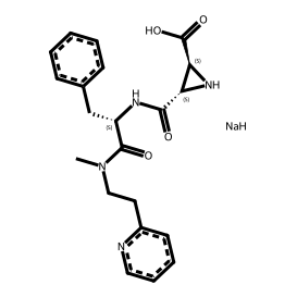 CN(CCc1ccccn1)C(=O)[C@H](Cc1ccccc1)NC(=O)[C@H]1N[C@@H]1C(=O)O.[NaH]